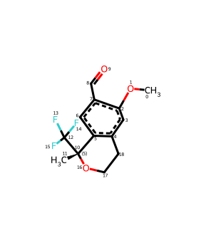 COc1cc2c(cc1C=O)[C@@](C)(C(F)(F)F)OCC2